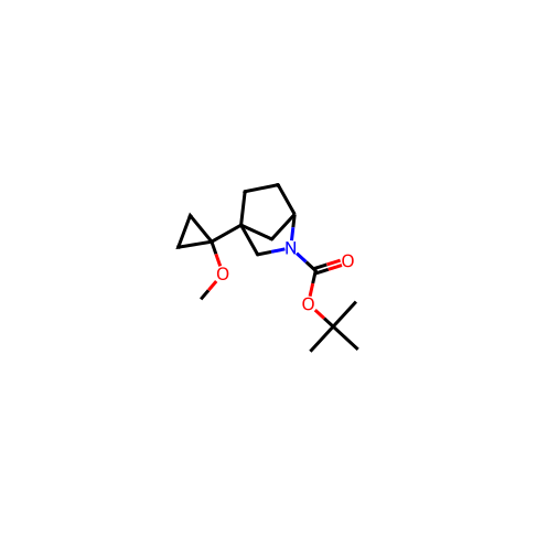 COC1(C23CCC(C2)N(C(=O)OC(C)(C)C)C3)CC1